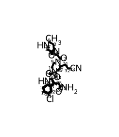 CC1Cc2nc(C(=O)N3CCN(S(=O)(=O)c4[nH]c5ccc(Cl)cc5c4CC(N)=O)CC3CCC#N)oc2CN1